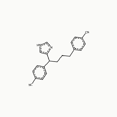 N#Cc1ccc(CCCC(c2ccc(C#N)cc2)c2c[nH]cn2)cc1